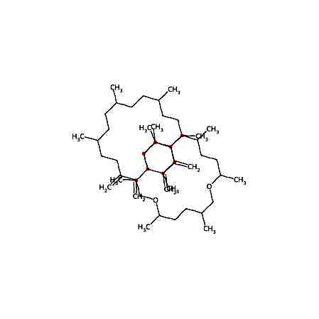 C=CC(=C)CCC(C)CCC(C)CCC(C)CCC(C)CCC(C)CCC(C)CCC(C)CCC(C)OCC(C)CCC(C)OCC(C)CCC(C)CC(=C)C=C